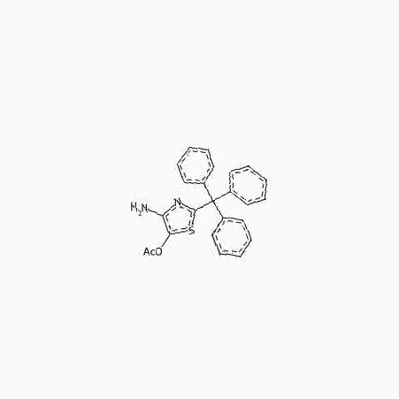 CC(=O)Oc1sc(C(c2ccccc2)(c2ccccc2)c2ccccc2)nc1N